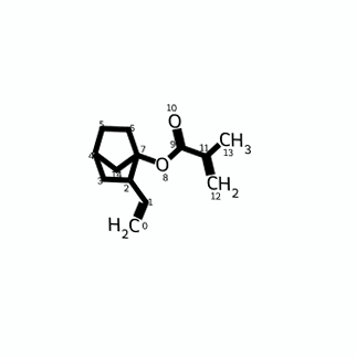 C=CC1CC2CCC1(OC(=O)C(=C)C)C2